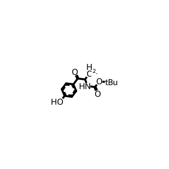 [CH2]C(NC(=O)OC(C)(C)C)C(=O)c1ccc(O)cc1